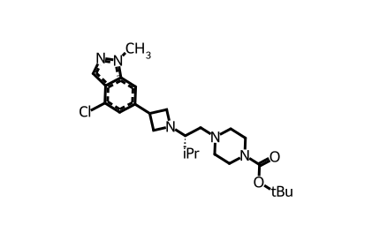 CC(C)[C@@H](CN1CCN(C(=O)OC(C)(C)C)CC1)N1CC(c2cc(Cl)c3cnn(C)c3c2)C1